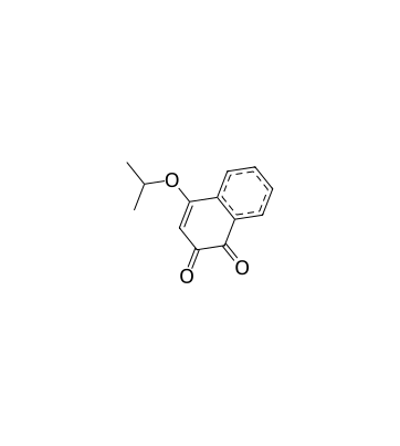 CC(C)OC1=CC(=O)C(=O)c2ccccc21